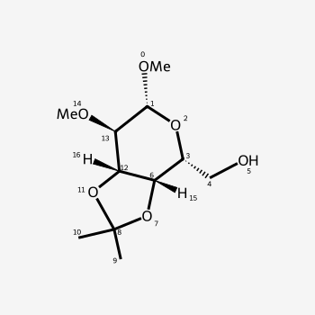 CO[C@@H]1O[C@H](CO)[C@@H]2OC(C)(C)O[C@@H]2[C@H]1OC